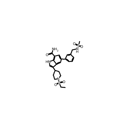 CCS(=O)(=O)N1CCC(c2c[nH]c3c(C(N)=O)cc(-c4cccc(CNS(C)(=O)=O)c4)cc23)CC1